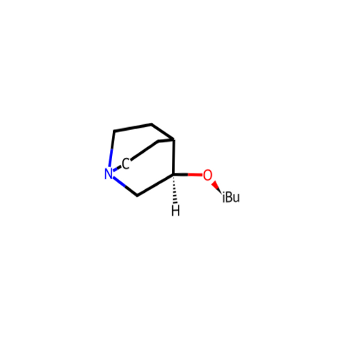 CC[C@H](C)O[C@H]1CN2CCC1CC2